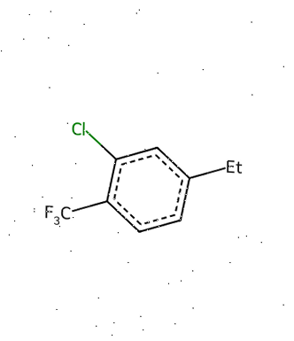 [CH2]Cc1ccc(C(F)(F)F)c(Cl)c1